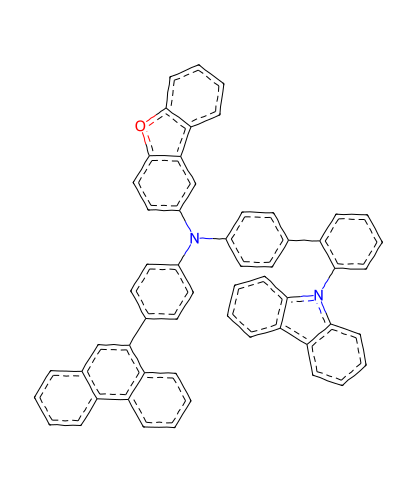 c1ccc(-n2c3ccccc3c3ccccc32)c(-c2ccc(N(c3ccc(-c4cc5ccccc5c5ccccc45)cc3)c3ccc4oc5ccccc5c4c3)cc2)c1